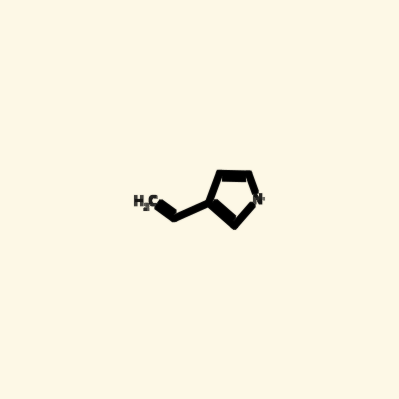 C=CC1=C[N]C=C1